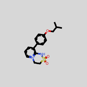 CC(C)COc1ccc(-c2ccc[n+]3c2NS(=O)(=O)CC3)cc1